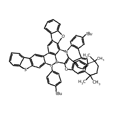 CC(C)(C)c1ccc(N2B3c4oc5cc6c(cc5c4N(c4ccc(C(C)(C)C)cc4-c4ccccc4)c4c3c(cc3c4oc4ccccc43)-c3cc4c(cc32)sc2ccccc24)C(C)(C)CCC6(C)C)cc1